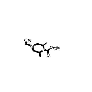 CC1CN(CC#N)CC(C)N1C(=O)OC(C)(C)C